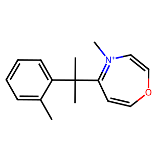 Cc1ccccc1C(C)(C)C1=[N+](C)C=COC=C1